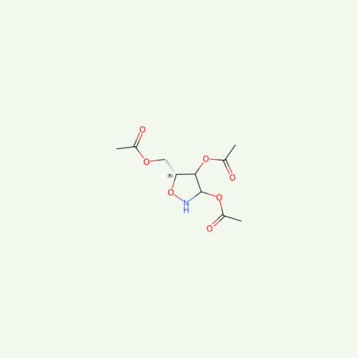 CC(=O)OC[C@H]1ONC(OC(C)=O)C1OC(C)=O